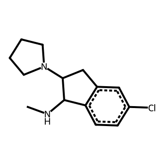 CNC1c2ccc(Cl)cc2CC1N1CCCC1